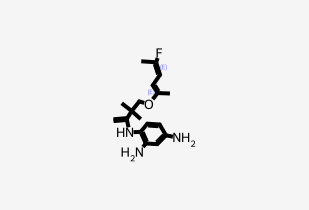 C=C(Nc1ccc(N)cc1N)C(C)(C)CO/C(C)=C/C=C(\C)F